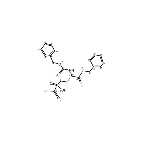 O=C(N[C@@H](CCP(=O)(O)C(=O)I)C(=O)OCc1ccccc1)OCc1ccccc1